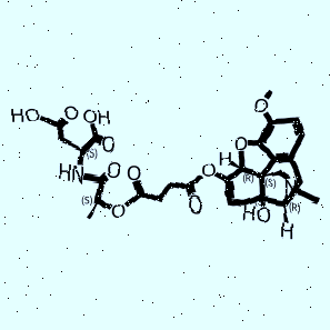 COc1ccc2c3c1O[C@H]1C(OC(=O)CCC(=O)O[C@@H](C)C(=O)N[C@@H](CC(=O)O)C(=O)O)=CC[C@@]4(O)[C@@H](C2)N(C)CC[C@]314